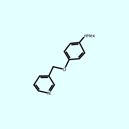 [CH2]CCCCCc1ccc(OCc2cccnc2)cc1